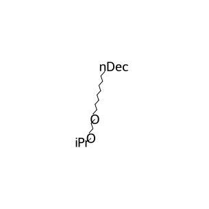 CCCCCCCCCCCCCCCCCCCCOCCCOC(C)C